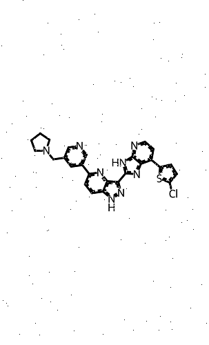 Clc1ccc(-c2ccnc3[nH]c(-c4n[nH]c5ccc(-c6cncc(CN7CCCC7)c6)nc45)nc23)s1